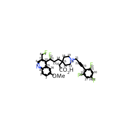 COc1ccc2ncc(CF)c(C(F)CCC3(CC(=O)O)CCN(CC#Cc4c(F)cc(F)cc4F)CC3)c2c1